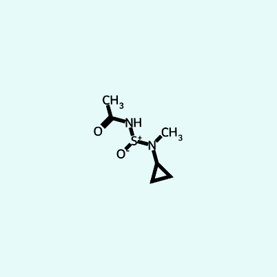 CC(=O)N[S+]([O-])N(C)C1CC1